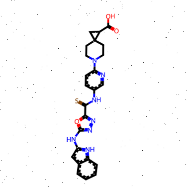 O=C(O)C1CC12CCN(c1ccc(NC(=S)c3nnc(Nc4cc5ccccc5[nH]4)o3)cn1)CC2